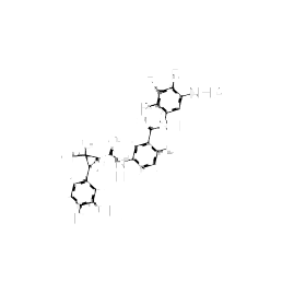 CC(=O)Nc1cc(NC(=O)c2cc(NC(=O)[C@H]3C(c4ccc(F)c(C(F)(F)F)c4)C3(Cl)Cl)ccc2Cl)c(F)c(F)c1F